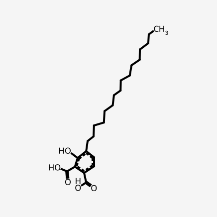 CCCCCCCCCCCCCCCCc1ccc(C(=O)O)c(C(=O)O)c1O